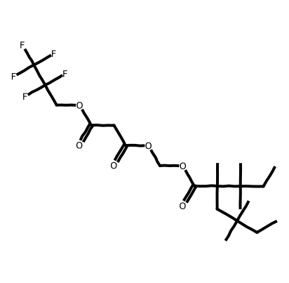 CCC(C)(C)CC(C)(C(=O)OCOC(=O)CC(=O)OCC(F)(F)C(F)(F)F)C(C)(C)CC